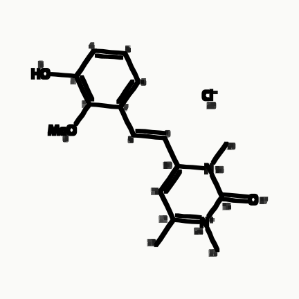 COc1c(O)cccc1/C=C/c1cc(C)[n+](C)c(=O)n1C.[Cl-]